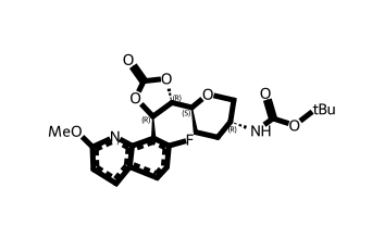 COc1ccc2ccc(F)c([C@H]3OC(=O)O[C@@H]3[C@@H]3CC[C@@H](NC(=O)OC(C)(C)C)CO3)c2n1